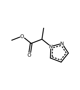 COC(=O)C(C)n1cccn1